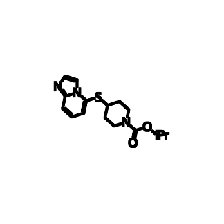 CC(C)OC(=O)N1CCC(Sc2cccc3nccn23)CC1